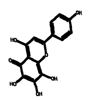 O=c1c(O)c(O)c(O)c2oc(-c3ccc(O)cc3)cc(O)c1-2